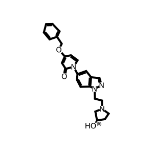 O=c1cc(OCc2ccccc2)ccn1-c1ccc2c(cnn2CCN2CC[C@@H](O)C2)c1